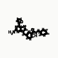 Nc1nc(-c2ccco2)c2ncn(Cc3cccc(C(=O)NCc4ccccc4)c3)c2n1